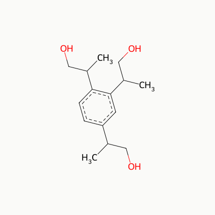 CC(CO)c1ccc(C(C)CO)c(C(C)CO)c1